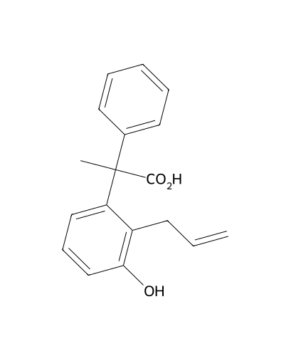 C=CCc1c(O)cccc1C(C)(C(=O)O)c1ccccc1